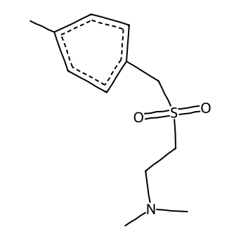 Cc1ccc(CS(=O)(=O)CCN(C)C)cc1